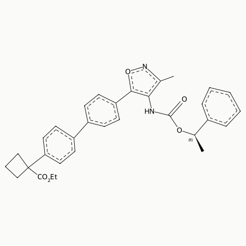 CCOC(=O)C1(c2ccc(-c3ccc(-c4onc(C)c4NC(=O)O[C@H](C)c4ccccc4)cc3)cc2)CCC1